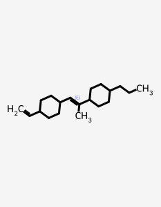 C=CC1CCC(/C=C(\C)C2CCC(CCC)CC2)CC1